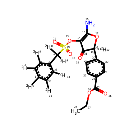 [2H]c1c([2H])c([2H])c(C([2H])([2H])S(=O)(=O)OC2=C(N)O[C@@]([2H])(c3ccc(C(=O)OCC)cc3)C2=O)c([2H])c1[2H]